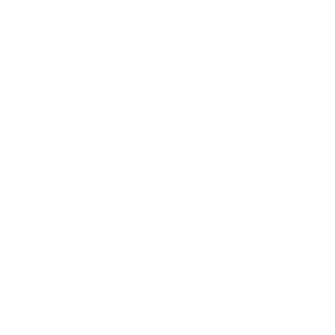 OCCOCCOCCOCCOC(F)(F)C(F)(F)F